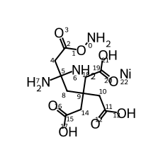 NOC(=O)CC(N)(N)CC(CC(=O)O)(CC(=O)O)CC(=O)O.[Ni]